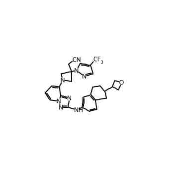 N#CCC1(n2cc(C(F)(F)F)cn2)CN(c2cccn3nc(Nc4ccc5c(c4)CCC(C4COC4)C5)nc23)C1